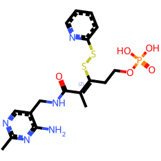 C/C(C(=O)NCc1cnc(C)nc1N)=C(\CCOP(=O)(O)O)SSc1ccccn1